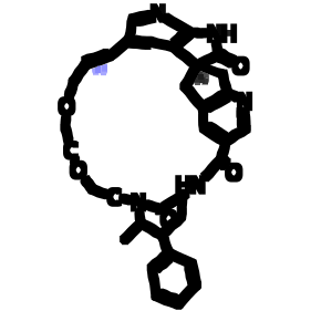 CC1C(c2ccccc2)CC2NC(=O)c3cnc4c(c3)C[C@@]3(C4)C(=O)Nc4ncc(cc43)/C=C/COCCOCCN1C2=O